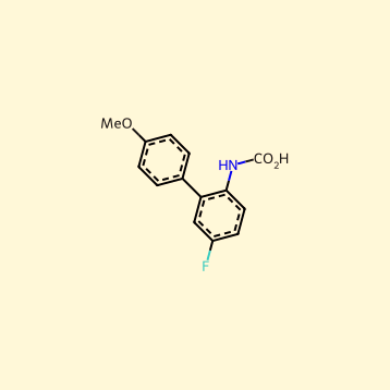 COc1ccc(-c2cc(F)ccc2NC(=O)O)cc1